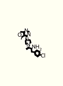 C=C([C@H](N)Cc1ccc(Cl)cc1)N1CCN(c2ncnc3c2[C@@H](C)OC3)CC1